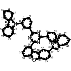 c1ccc(-c2nc(-c3cccc(-n4c5ccccc5c5ccccc54)c3)nc(-c3cccc4oc5ccc(-c6nc7ccccc7s6)cc5c34)n2)cc1